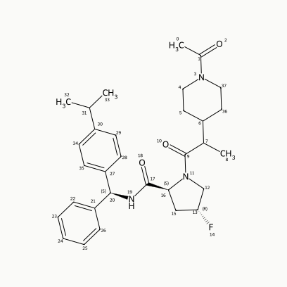 CC(=O)N1CCC(C(C)C(=O)N2C[C@H](F)C[C@H]2C(=O)N[C@@H](c2ccccc2)c2ccc(C(C)C)cc2)CC1